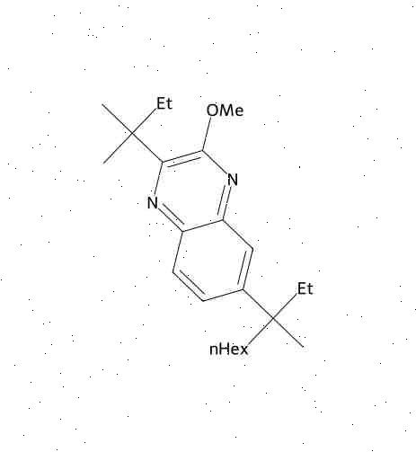 CCCCCCC(C)(CC)c1ccc2nc(C(C)(C)CC)c(OC)nc2c1